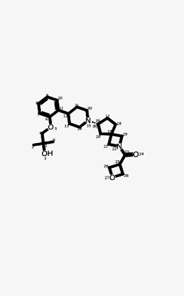 CC(C)(O)COc1ccccc1C1CCN([C@@H]2CCC3(C2)CN(C(=O)C2COC2)C3)CC1